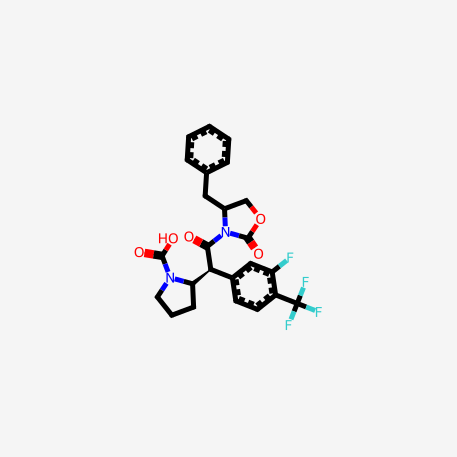 O=C(O)N1CCCC1[C@@H](C(=O)N1C(=O)OCC1Cc1ccccc1)c1ccc(C(F)(F)F)c(F)c1